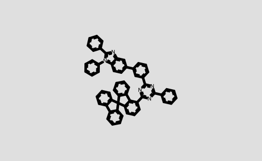 c1ccc(-c2nc(-c3cccc(-c4ccc5c(c4)nc(-c4ccccc4)n5-c4ccccc4)c3)nc(-c3cccc4c3-c3ccccc3C43c4ccccc4-c4ccccc43)n2)cc1